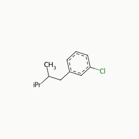 CC(C)C(C)Cc1cccc(Cl)c1